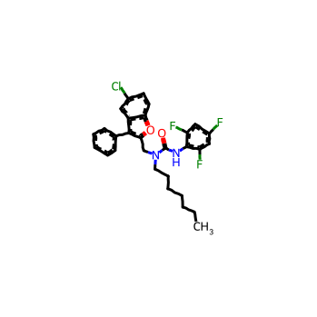 CCCCCCCN(Cc1oc2ccc(Cl)cc2c1-c1ccccc1)C(=O)Nc1c(F)cc(F)cc1F